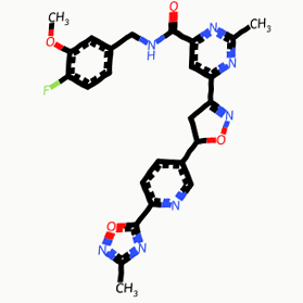 COc1cc(CNC(=O)c2cc(C3=NOC(c4ccc(-c5nc(C)no5)nc4)C3)nc(C)n2)ccc1F